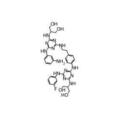 Nc1cccc(Nc2nc(NCCc3ccc(Nc4nc(Nc5cccc(F)c5)nc(NC(CO)CO)n4)cc3)nc(NC(CO)CO)n2)c1